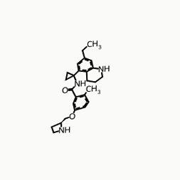 CCc1cc2c(c(C3(NC(=O)c4cc(OC[C@@H]5CCN5)ccc4C)CC3)c1)CCCN2